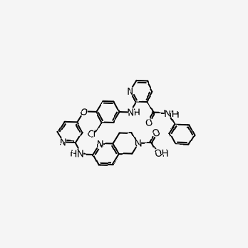 O=C(Nc1ccccc1)c1cccnc1Nc1ccc(Oc2ccnc(Nc3ccc4c(n3)CCN(C(=O)O)C4)c2)c(Cl)c1